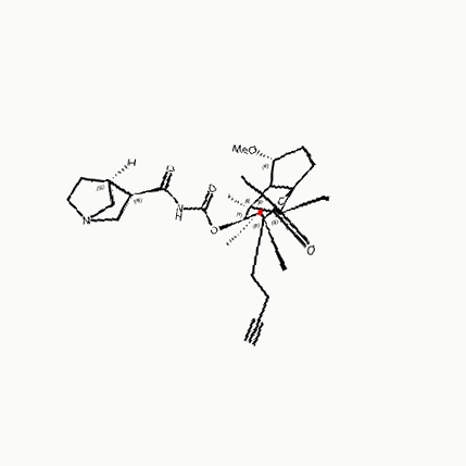 C#CCC[C@]1(C)C[C@@H](OC(=O)NC(=O)[C@H]2CN3CC[C@@H]2C3)[C@@]2(C)C3[C@H](OC)CCC3(CC[C@H]2C)[C@@H](C)C1=O